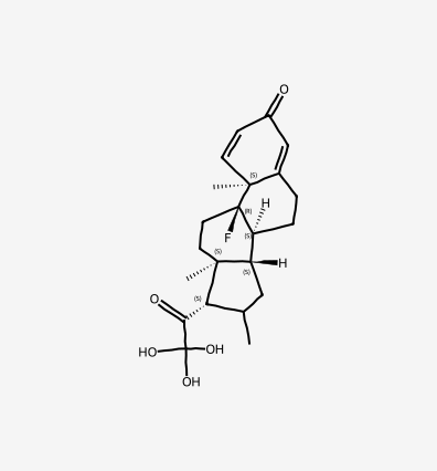 CC1C[C@H]2[C@@H]3CCC4=CC(=O)C=C[C@]4(C)[C@@]3(F)CC[C@]2(C)[C@H]1C(=O)C(O)(O)O